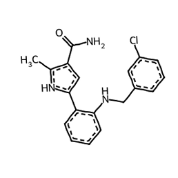 Cc1[nH]c(-c2ccccc2NCc2cccc(Cl)c2)cc1C(N)=O